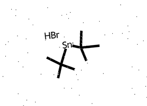 Br.C[C](C)(C)[Sn][C](C)(C)C